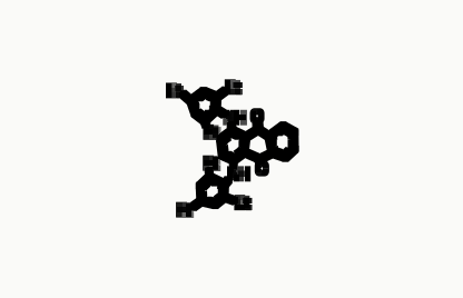 CCc1cc(CC)c(Nc2ccc(Nc3c(CC)cc(CC)cc3CC)c3c2C(=O)c2ccccc2C3=O)c(CC)c1